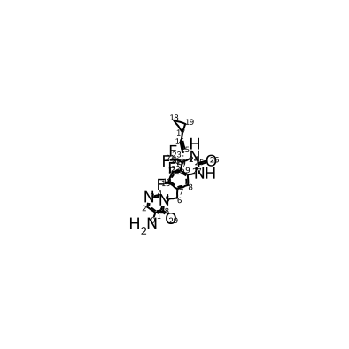 Nc1cncn(Cc2cc3c(cc2F)[C@@](C#CC2CC2)(C(F)(F)F)NC(=O)N3)c1=O